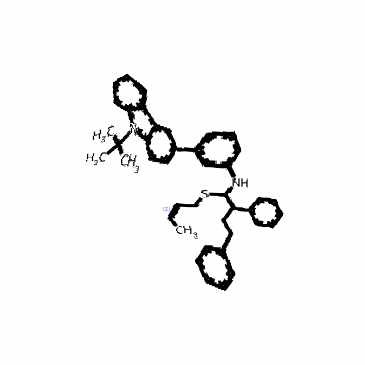 C/C=C\CSC(Nc1cccc(-c2ccc3c(c2)c2ccccc2n3C(C)(C)C)c1)C(CCc1ccccc1)c1ccccc1